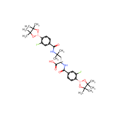 CC(C)(C[C@H](NC(=O)c1ccc(B2OC(C)(C)C(C)(C)O2)c(F)c1)C(=O)O)NC(=O)c1ccc(B2OC(C)(C)C(C)(C)O2)c(F)c1